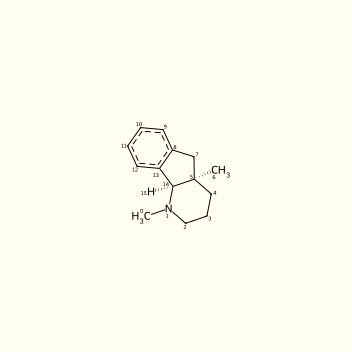 CN1CCC[C@]2(C)Cc3ccccc3[C@H]12